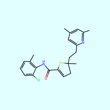 Cc1cc(C)nc(CCC2(C)CC=C(C(=O)Nc3c(C)cccc3Cl)S2)c1